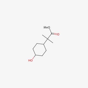 COC(=O)C(C)(C)C1CCC(O)CC1